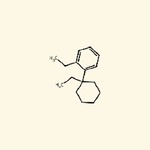 CCc1ccccc1C1(CC)CCCCC1